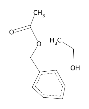 CC(=O)OCc1ccccc1.CCO